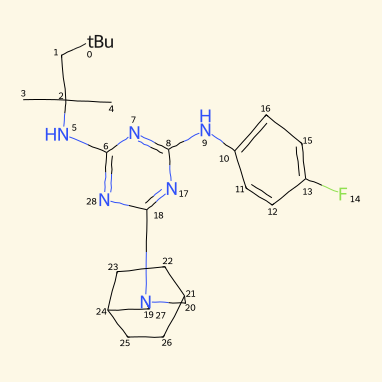 CC(C)(C)CC(C)(C)Nc1nc(Nc2ccc(F)cc2)nc(N2CC3CCC(CC3)C2)n1